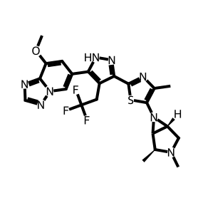 COc1cc(-c2[nH]nc(-c3nc(C)c(N4C5[C@H]4CN(C)[C@H]5C)s3)c2CC(F)(F)F)cn2ncnc12